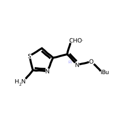 CCC(C)O/N=C(\[C]=O)c1csc(N)n1